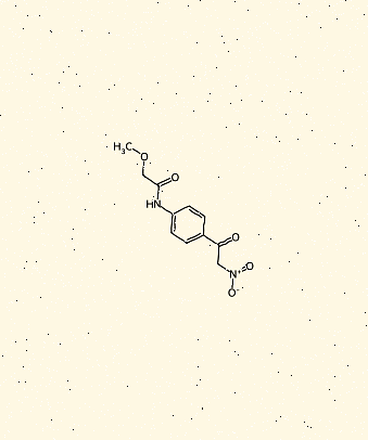 COCC(=O)Nc1ccc(C(=O)C[N+](=O)[O-])cc1